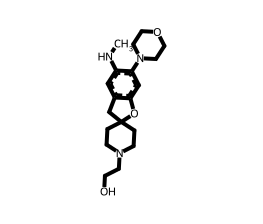 CNc1cc2c(cc1N1CCOCC1)OC1(CCN(CCO)CC1)C2